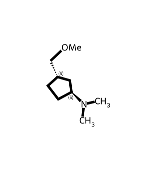 COC[C@H]1CC[C@H](N(C)C)C1